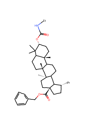 CCNC(=O)O[C@@H]1CC[C@@]2(C)C(CC[C@]3(C)C2CCC2C4[C@H](C(C)C)CC[C@]4(C(=O)OCc4ccccc4)CC[C@]23C)C1(C)C